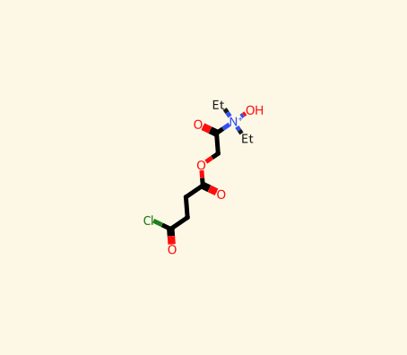 CC[N+](O)(CC)C(=O)COC(=O)CCC(=O)Cl